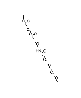 [CH2]COCCOCCOCCOCCC(=O)NCCOCCCC(=O)OCOCCC(=O)OC(C)(C)C